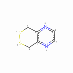 c1cnc2c(n1)CSSC2